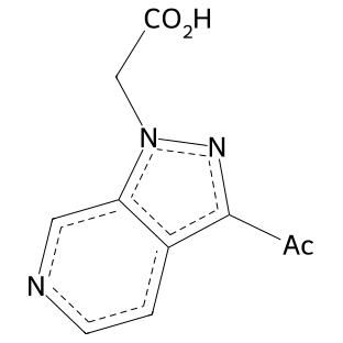 CC(=O)c1nn(CC(=O)O)c2cnccc12